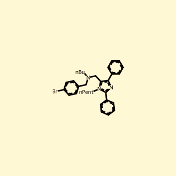 CCCCCn1c(-c2ccccc2)nc(-c2ccccc2)c1CN(CCCC)Cc1ccc(Br)cc1